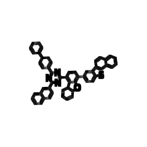 C1=CC2Oc3c(-c4ccc5sc6c7ccccc7ccc6c5c4)ccc(-c4nc(C5=CCC(c6ccccc6)C=C5)nc(-c5ccc6ccccc6c5)n4)c3C2C=C1